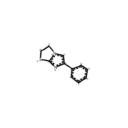 c1ccc(-c2cn3c(n2)SCC3)cc1